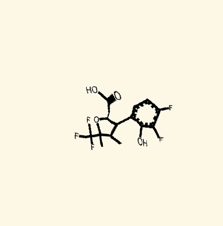 CC1C(c2ccc(F)c(F)c2O)[C@H](C(=O)O)OC1(C)C(F)(F)F